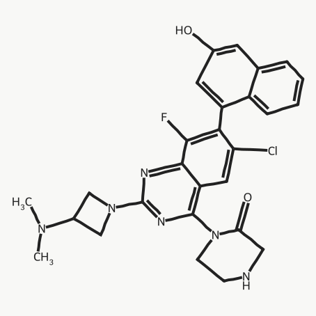 CN(C)C1CN(c2nc(N3CCNCC3=O)c3cc(Cl)c(-c4cc(O)cc5ccccc45)c(F)c3n2)C1